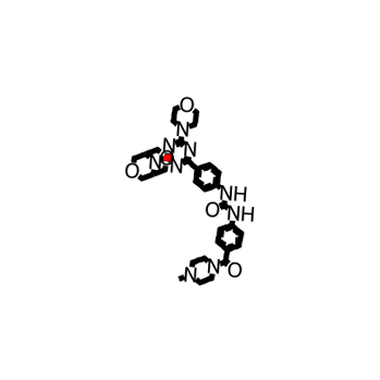 CN1CCN(C(=O)c2ccc(NC(=O)Nc3ccc(-c4nc(N5CCOCC5)nc(N5C6COCC5COC6)n4)cc3)cc2)CC1